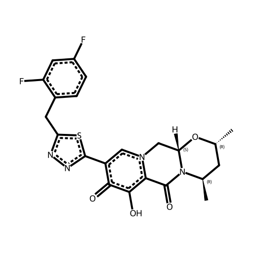 C[C@@H]1C[C@@H](C)N2C(=O)c3c(O)c(=O)c(-c4nnc(Cc5ccc(F)cc5F)s4)cn3C[C@@H]2O1